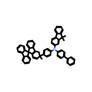 CC1(c2ccc(N(c3ccc(-c4ccccc4)cc3)c3ccc4c(c3)C(C)(C)c3ccccc3-4)cc2)C=CC2=C(C1)c1ccccc1C21c2ccccc2-c2ccccc21